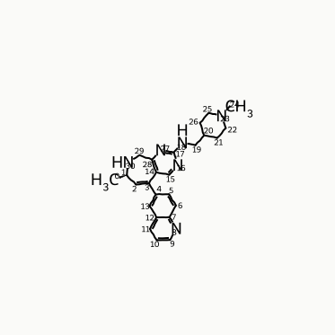 C[C@@H]1C=C(c2ccc3ncccc3c2)c2cnc(NCC3CCN(C)CC3)nc2CN1